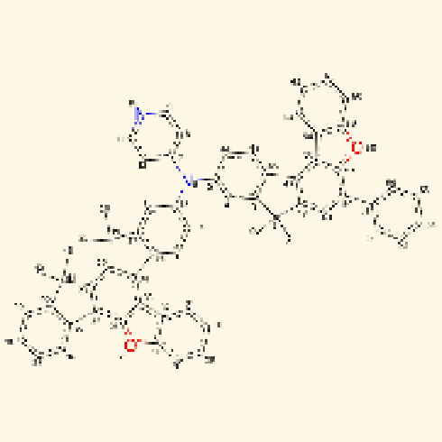 CC1(C)c2cc(N(c3ccncc3)c3ccc4c(c3)C(C)(C)c3c5c(c6oc7ccccc7c6c3-4)-c3ccccc3C5(C)C)ccc2-c2c1cc(-c1ccccc1)c1oc3ccccc3c21